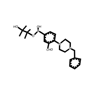 CC(C)(O)C(C)(C)OB(O)c1ccc(N2CCN(Cc3ccccc3)CC2)c(C=O)c1